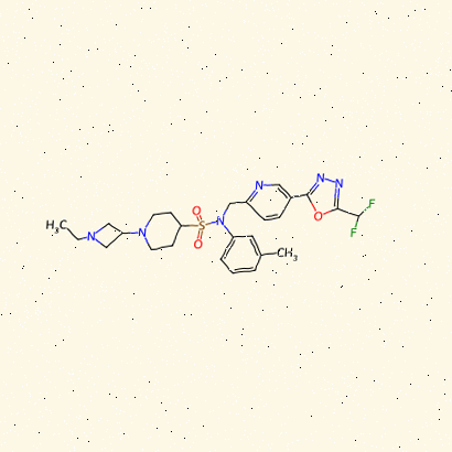 CCN1CC(N2CCC(S(=O)(=O)N(Cc3ccc(-c4nnc(C(F)F)o4)cn3)c3cccc(C)c3)CC2)C1